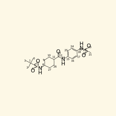 CC(C)(C)S(=O)(=O)NC1CCC(C(=O)Nc2ccc(NS(C)(=O)=O)cc2)CC1